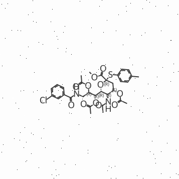 COC(=O)[C@]1(Sc2ccc(C)cc2)C[C@H](OC(C)=O)[C@@H](NC(C)=O)[C@H]([C@H](OC(C)=O)[C@@H](CNC(=O)c2cccc(Cl)c2)OC(C)=O)O1